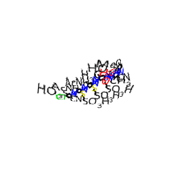 COc1ccc2nc3c(C#N)c(C)c(N=Nc4cc(C)c(N=Nc5cc(NC(C)=O)c(N=Nc6cc(NC(C)=O)c(N=Nc7cc(S(=O)(=O)O)c(Cl)cc7C#N)cc6SCCCS(=O)(=O)O)cc5SCCCS(=O)(=O)O)cc4OCCCS(=O)(=O)O)c(O)n3c2c1S(=O)(=O)O